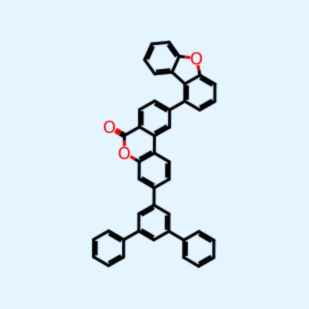 O=c1oc2cc(-c3cc(-c4ccccc4)cc(-c4ccccc4)c3)ccc2c2cc(-c3cccc4oc5ccccc5c34)ccc12